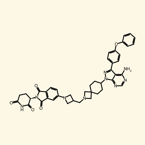 Nc1ncnc2c1c(-c1ccc(Oc3ccccc3)cc1)nn2C1CCC2(CC1)CN(CC1CN(c3ccc4c(c3)C(=O)N([C@@H]3CCC(=O)NC3=O)C4=O)C1)C2